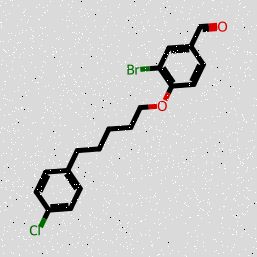 O=Cc1ccc(OCCCCCc2ccc(Cl)cc2)c(Br)c1